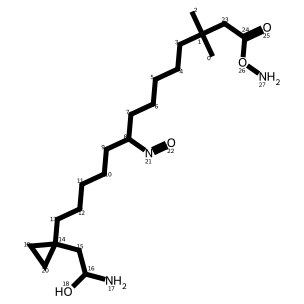 CC(C)(CCCCCC(CCCCCC1(CC(N)O)CC1)N=O)CC(=O)ON